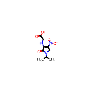 CC(C)N1CC([N+](=O)[O-])=C(NCC(=O)O)C1=O